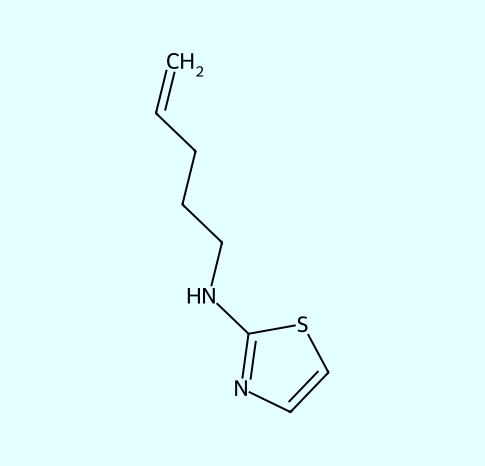 C=CCCCNc1nccs1